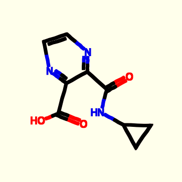 O=C(O)c1nccnc1C(=O)NC1CC1